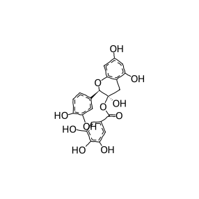 O=C(O[C@]1(O)Cc2c(O)cc(O)cc2O[C@@H]1c1ccc(O)c(O)c1)c1cc(O)c(O)c(O)c1